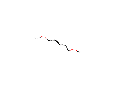 CC(C)OCC/C=C/COC(C)(C)C